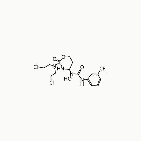 O=C(Nc1cccc(C(F)(F)F)c1)N(O)C1CCOP(=O)(N(CCCl)CCCl)N1